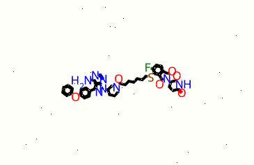 Nc1ncnc2c1c(-c1ccc(Oc3ccccc3)cc1)nn2C1CCCN(C(=O)CCCCCCSc2c(F)ccc3c2C(=O)N(C2CCC(=O)NC2=O)C3=O)C1